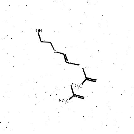 C=C(C)C(=O)O.C=C(C)C(=O)O.CC=COCCO